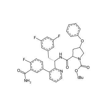 CC(C)(C)OC(=O)N1CC(Oc2ccccc2)CC1C(=O)N[C@@H](Cc1cc(F)cc(F)c1)c1ncccc1-c1ccc(F)c(C(N)=O)c1